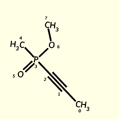 CC#CP(C)(=O)OC